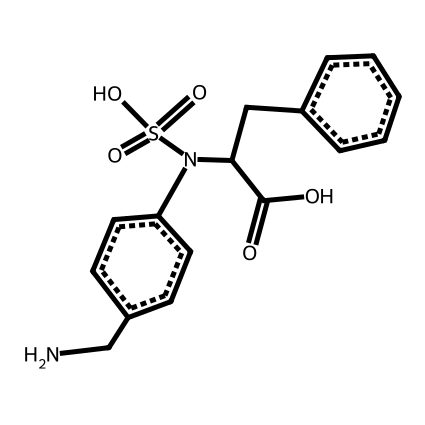 NCc1ccc(N(C(Cc2ccccc2)C(=O)O)S(=O)(=O)O)cc1